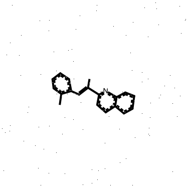 C/C(=C\c1ccccc1C)c1ccc2ccccc2n1